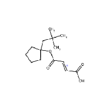 CC(C)(C)CC1(OC(=O)/C=C/C(=O)O)CCCC1